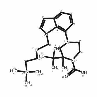 CC(C)(C)C1(C)CN(c2cccc3ccn(COCC[Si](C)(C)C)c23)CCN1C(=O)O